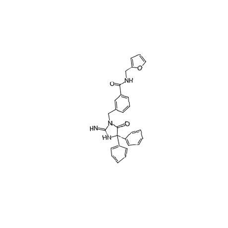 N=C1NC(c2ccccc2)(c2ccccc2)C(=O)N1Cc1cccc(C(=O)NCc2ccco2)c1